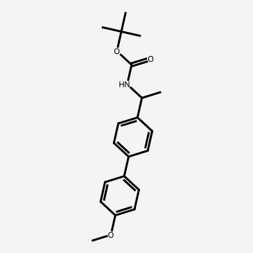 COc1ccc(-c2ccc(C(C)NC(=O)OC(C)(C)C)cc2)cc1